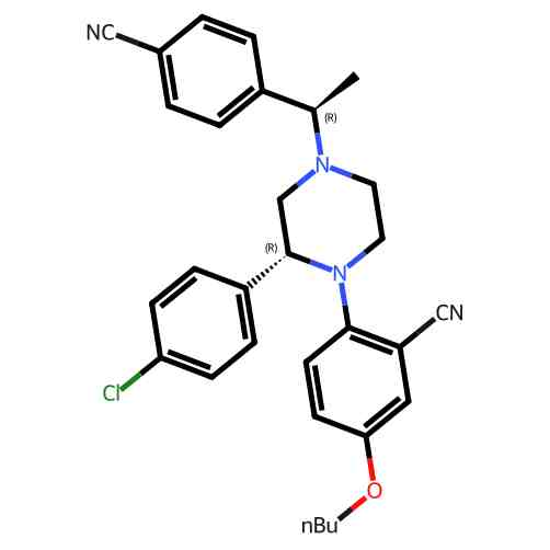 CCCCOc1ccc(N2CCN([C@H](C)c3ccc(C#N)cc3)C[C@H]2c2ccc(Cl)cc2)c(C#N)c1